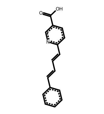 O=C(O)c1ccc(/C=C/C=C/c2ccccc2)nc1